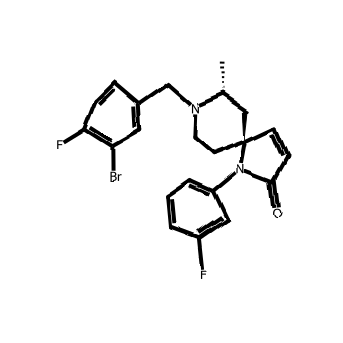 C[C@@H]1C[C@]2(C=CC(=O)N2c2cccc(F)c2)CCN1Cc1ccc(F)c(Br)c1